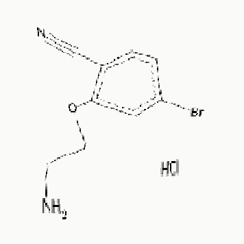 Cl.N#Cc1ccc(Br)cc1OCCN